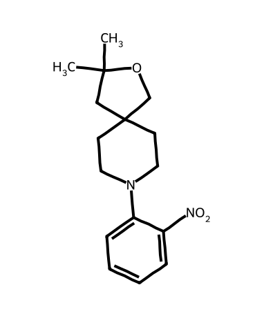 CC1(C)CC2(CCN(c3ccccc3[N+](=O)[O-])CC2)CO1